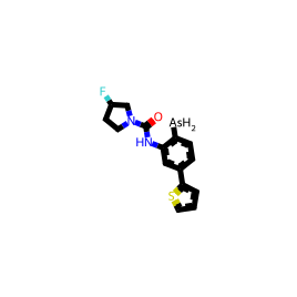 O=C(Nc1cc(-c2cccs2)ccc1[AsH2])N1CCC(F)C1